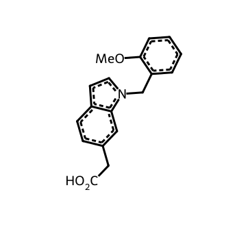 COc1ccccc1Cn1ccc2ccc(CC(=O)O)cc21